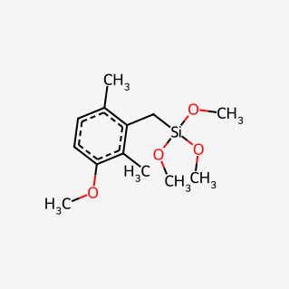 COc1ccc(C)c(C[Si](OC)(OC)OC)c1C